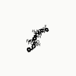 Cc1cc(Oc2c(F)cccc2F)ncc1-n1ncc(C(=O)c2cc3cc(OCC(F)F)c(N4C(=O)NC5(CCN(Cc6ccccc6)CC5)C4=O)cc3[nH]2)c1N